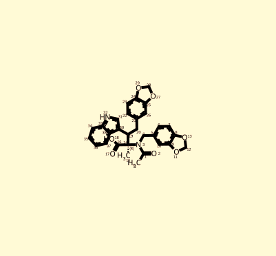 CC(=O)N(Cc1ccc2c(c1)OCO2)[C@@](C)(C(=O)O)C(Cc1ccc2c(c1)OCO2)c1c[nH]c2ccccc12